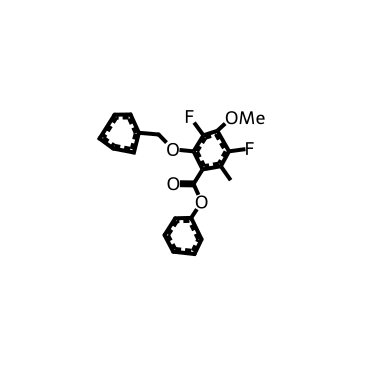 COc1c(F)c(C)c(C(=O)Oc2ccccc2)c(OCc2ccccc2)c1F